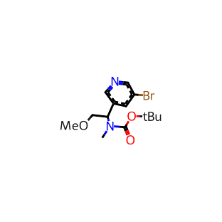 COCC(c1cncc(Br)c1)N(C)C(=O)OC(C)(C)C